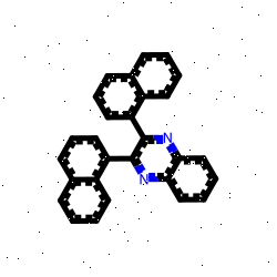 c1ccc2c(-c3nc4ccccc4nc3-c3cccc4ccccc34)cccc2c1